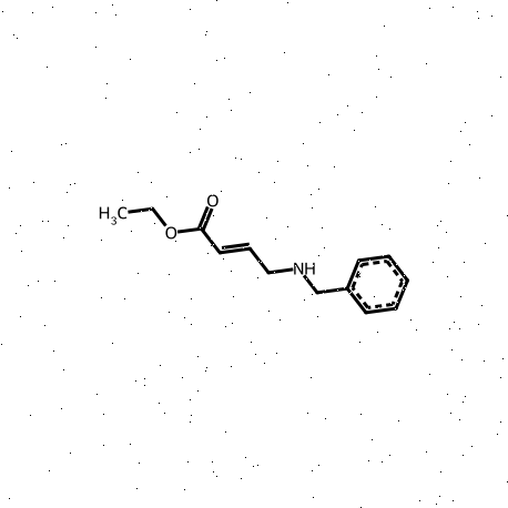 CCOC(=O)C=CCNCc1ccccc1